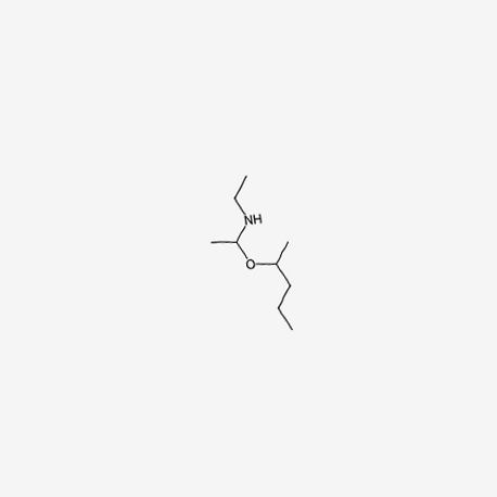 CCCC(C)OC(C)NCC